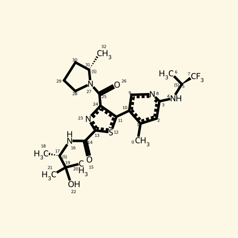 Cc1cc(N[C@@H](C)C(F)(F)F)ncc1-c1sc(C(=O)N[C@@H](C)C(C)(C)O)nc1C(=O)N1CCC[C@@H]1C